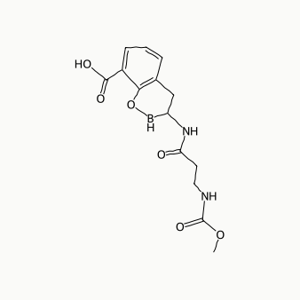 COC(=O)NCCC(=O)NC1BOc2c(cccc2C(=O)O)C1